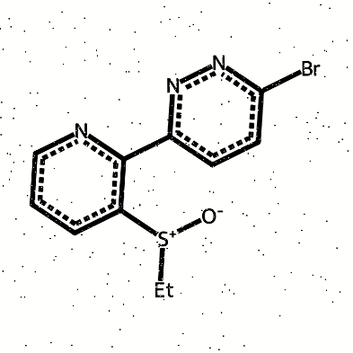 CC[S+]([O-])c1cccnc1-c1ccc(Br)nn1